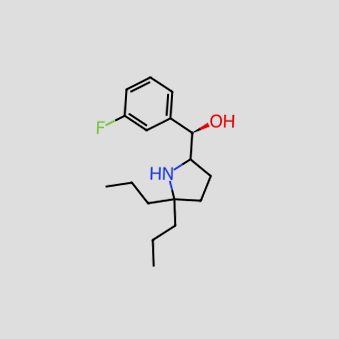 CCCC1(CCC)CCC([C@H](O)c2cccc(F)c2)N1